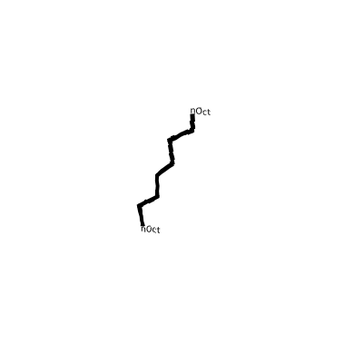 [CH2]CCCCCCCCCCCCCCCCCCCC[CH2]